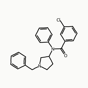 O=C(c1cccc(Cl)c1)N(c1ccccc1)C1CCN(Cc2ccccc2)C1